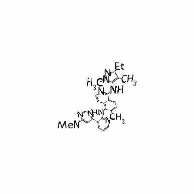 CCc1nn(C)c(Nc2nccc3c(Nc4ncccc4-c4cc(NC)ncn4)c(C)ccc23)c1C